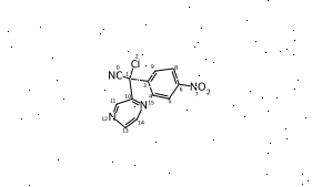 N#CC(Cl)(c1ccc([N+](=O)[O-])cc1)c1cnccn1